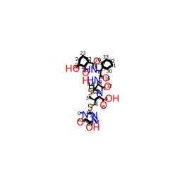 Cn1c(SCC2=C(C(=O)O)N3C(=O)C(NC(=O)C(NC(=O)c4cccc(O)c4O)c4ccccc4)[C@H]3SC2)nnc(O)c1=O